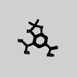 COC(=O)c1cc2c(c(B(O)O)c1)NC(C)(C)O2